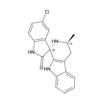 C[C@H]1Cc2c([nH]c3ccccc23)[C@@]2(N1)C(=O)Nc1ccc(Cl)cc12